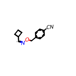 N#Cc1ccc(CO/N=[C]\C2CCC2)cc1